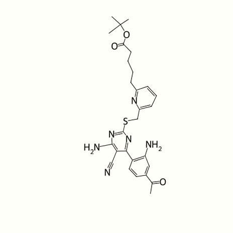 CC(=O)c1ccc(-c2nc(SCc3cccc(CCCCC(=O)OC(C)(C)C)n3)nc(N)c2C#N)c(N)c1